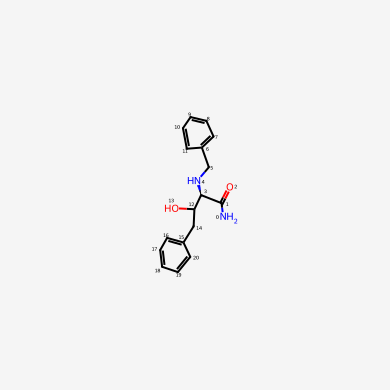 NC(=O)[C@H](NCc1ccccc1)C(O)Cc1ccccc1